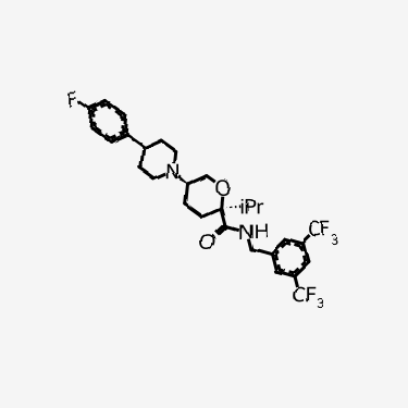 CC(C)[C@]1(C(=O)NCc2cc(C(F)(F)F)cc(C(F)(F)F)c2)CC[C@@H](N2CCC(c3ccc(F)cc3)CC2)CO1